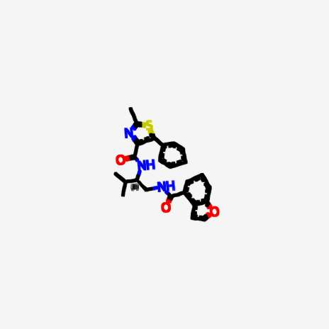 Cc1nc(C(=O)N[C@@H](CNC(=O)c2cccc3occc23)C(C)C)c(-c2ccccc2)s1